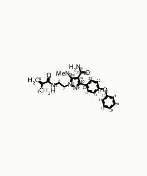 C=C(C)C(=O)NCCn1nc(-c2ccc(Oc3ccccc3)cc2)c(C(N)=O)c1NC